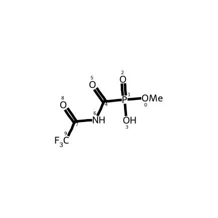 COP(=O)(O)C(=O)NC(=O)C(F)(F)F